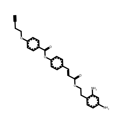 C#CCCOc1ccc(C(=O)Oc2ccc(C=CC(=O)OCCc3ccc(N)cc3N)cc2)cc1